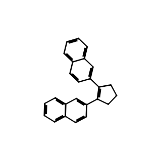 c1ccc2cc(C3=C(c4ccc5ccccc5c4)CCC3)ccc2c1